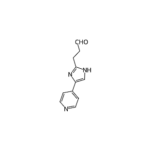 O=CCCc1nc(-c2ccncc2)c[nH]1